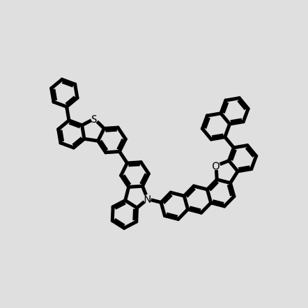 c1ccc(-c2cccc3c2sc2ccc(-c4ccc5c(c4)c4ccccc4n5-c4ccc5cc6ccc7c8cccc(-c9cccc%10ccccc9%10)c8oc7c6cc5c4)cc23)cc1